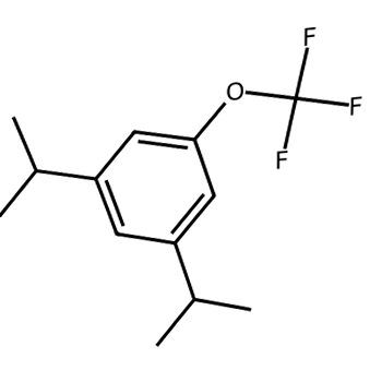 CC(C)c1cc(OC(F)(F)F)cc(C(C)C)c1